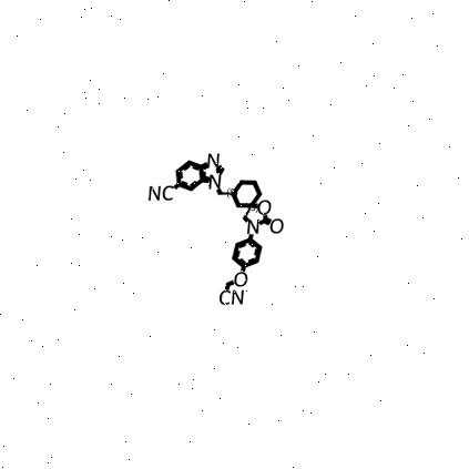 N#CCOc1ccc(N2C[C@@]3(CCC[C@H](Cn4cnc5ccc(C#N)cc54)C3)OC2=O)cc1